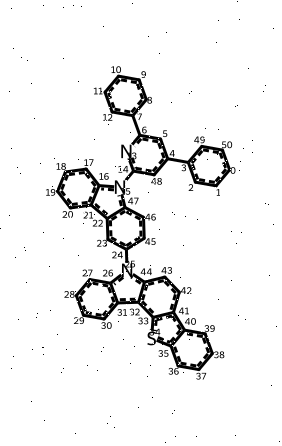 c1ccc(-c2cc(-c3ccccc3)nc(-n3c4ccccc4c4cc(-n5c6ccccc6c6c7sc8ccccc8c7ccc65)ccc43)c2)cc1